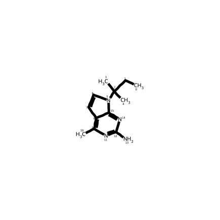 CCC(C)(C)n1ccc2c(C)nc(N)nc21